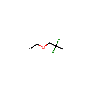 [CH2]COCC(C)(F)F